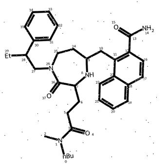 CCCCN(C)C(=O)CCC1NC(Cc2c(C(N)=O)ccc3ccccc23)CCN(CC(CC)c2ccccc2)C1=O